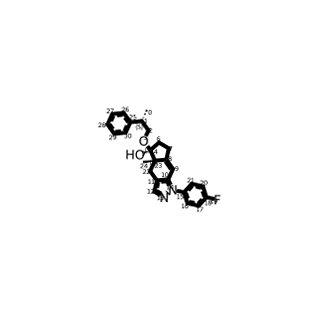 C[C@H](CO[C@@]1(O)CCC2=Cc3c(cnn3-c3ccc(F)cc3)C[C@@]21C)c1ccccc1